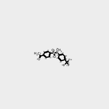 CC(=O)c1ccc(S(=O)(=O)N(C)c2ccc(C(F)(F)F)cc2)cc1